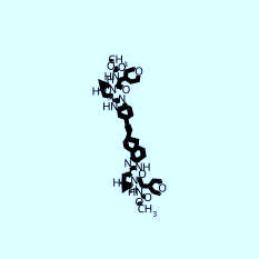 COC(=O)NC(C(=O)N1[C@@H]2C[C@@H]2C[C@H]1c1nc2c(ccc3cc(C#Cc4ccc5nc([C@@H]6C[C@H]7C[C@H]7N6C(=O)[C@@H](NC(=O)OC)C6CCOCC6)[nH]c5c4)ccc32)[nH]1)C1CCOCC1